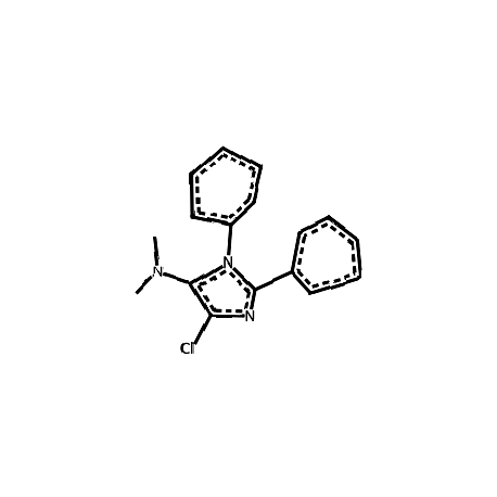 CN(C)c1c(Cl)nc(-c2ccccc2)n1-c1ccccc1